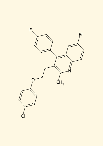 Cc1nc2ccc(Br)cc2c(-c2ccc(F)cc2)c1CCOc1ccc(Cl)cc1